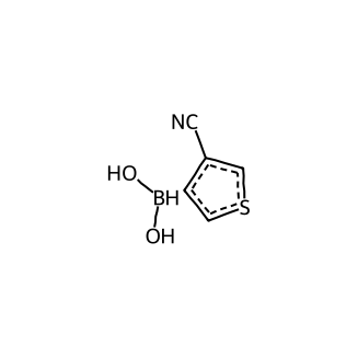 N#Cc1ccsc1.OBO